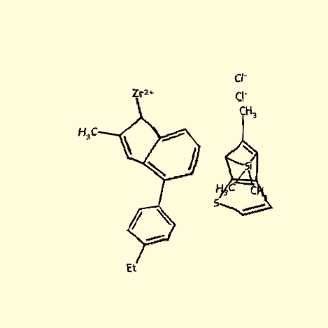 CC1=C2c3ccsc3C1[Si]2(C)C.CCc1ccc(-c2cccc3c2C=C(C)[CH]3[Zr+2])cc1.[Cl-].[Cl-]